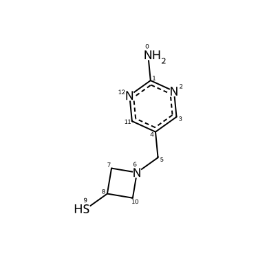 Nc1ncc(CN2CC(S)C2)cn1